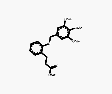 COC(=O)CCc1ccccc1OCc1cc(OC)c(OC)c(OC)c1